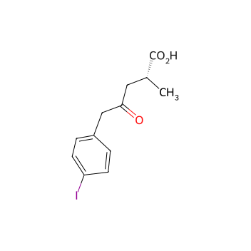 C[C@H](CC(=O)Cc1ccc(I)cc1)C(=O)O